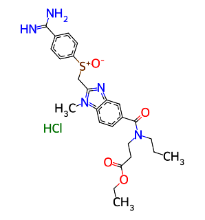 CCCN(CCC(=O)OCC)C(=O)c1ccc2c(c1)nc(C[S+]([O-])c1ccc(C(=N)N)cc1)n2C.Cl